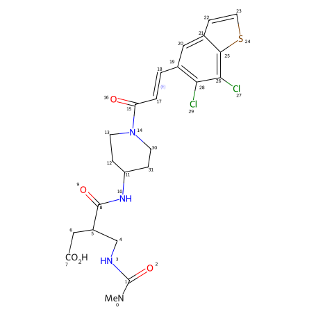 CNC(=O)NCC(CC(=O)O)C(=O)NC1CCN(C(=O)/C=C/c2cc3ccsc3c(Cl)c2Cl)CC1